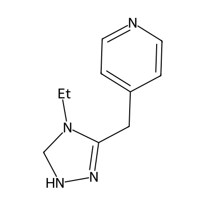 CCN1CNN=C1Cc1ccncc1